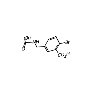 CC(C)(C)C(=O)NCc1ccc(Br)c(C(=O)O)c1